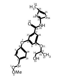 COOSc1ccc(Oc2cc(O[C@@H](C)CO)cc(C(=O)Nc3nc(C)cs3)c2)cc1